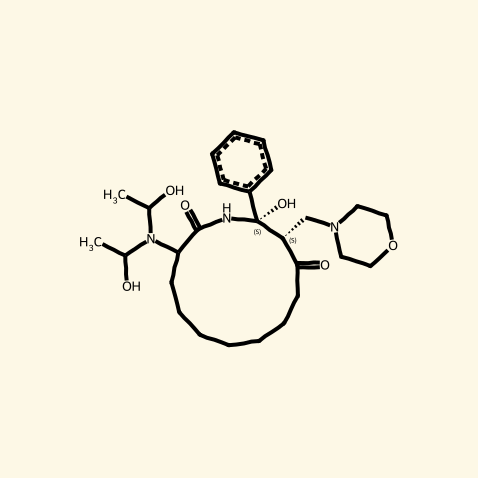 CC(O)N(C(C)O)C1CCCCCCCC(=O)[C@@H](CN2CCOCC2)[C@](O)(c2ccccc2)NC1=O